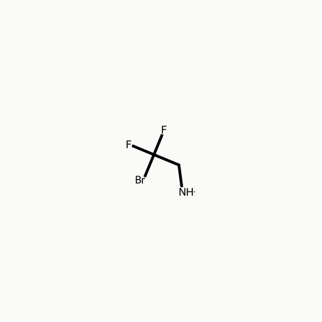 [NH]CC(F)(F)Br